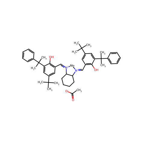 CC(=O)[O-].CC(C)(C)c1cc(C=[N+]2[Mn][N+](=Cc3cc(C(C)(C)C)cc(C(C)(C)c4ccccc4)c3O)C3CCCCC32)c(O)c(C(C)(C)c2ccccc2)c1